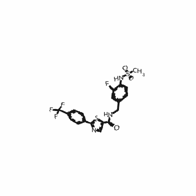 CS(=O)(=O)Nc1ccc(CNC(=O)c2cnc(-c3ccc(C(F)(F)F)cc3)s2)cc1F